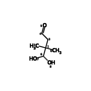 CC(C)(CC=O)C(O)O